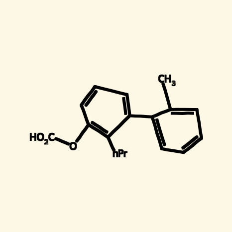 CCCc1c(OC(=O)O)cccc1-c1ccccc1C